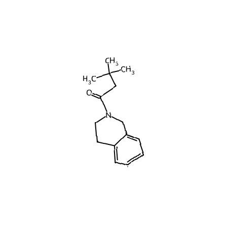 CC(C)(C)CC(=O)N1CCc2c[c]ccc2C1